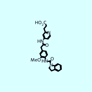 COc1cc(CC(=O)Nc2ccnc(CCC(=O)O)c2)ccc1NC(=O)N1CCc2ccccc21